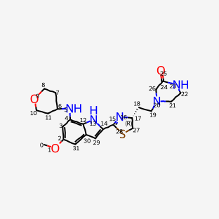 COc1cc(NC2CCOCC2)c2[nH]c(C3=N[C@H](CCN4CCNC(=O)C4)CS3)cc2c1